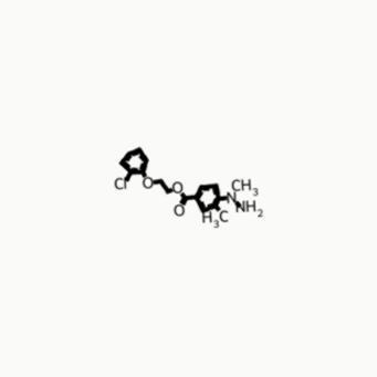 Cc1cc(C(=O)OCCOc2ccccc2Cl)ccc1N(C)N